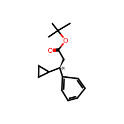 CC(C)(C)OC(=O)C[C@@H](c1ccccc1)C1CC1